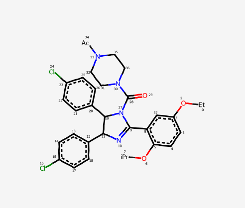 CCOc1ccc(OC(C)C)c(C2=NC(c3ccc(Cl)cc3)C(c3ccc(Cl)cc3)N2C(=O)N2CCN(C(C)=O)CC2)c1